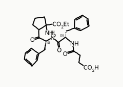 CCOC(=O)C1(N)CCCC1C(=O)[C@H](Cc1ccccc1)NC(=O)[C@H](Cc1ccccc1)NC(=O)CCC(=O)O